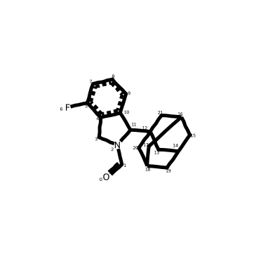 O=CN1Cc2c(F)cccc2C1C12CC3CC(CC(C3)C1)C2